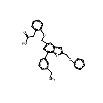 NCc1cccc(-c2cc(COc3ccccc3CC(=O)O)cc3cc(COc4ccccc4)oc23)c1